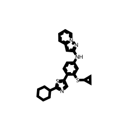 c1ccn2nc(Nc3ccc(-c4cnc(C5CCCCC5)s4)c(SC4CC4)c3)cc2c1